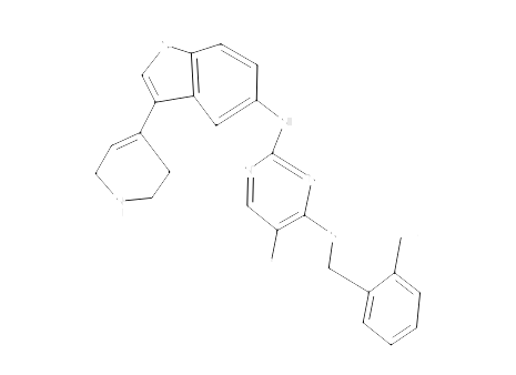 FC(F)(F)c1ccccc1CNc1nc(Nc2ccc3[nH]cc(C4=CCNCC4)c3c2)ncc1C(F)(F)F